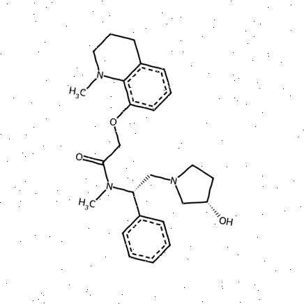 CN1CCCc2cccc(OCC(=O)N(C)[C@H](CN3CC[C@H](O)C3)c3ccccc3)c21